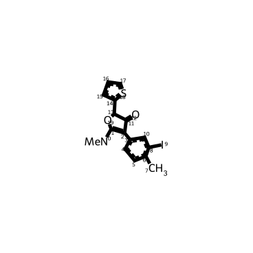 CNC1=C(c2ccc(C)c(I)c2)C(=O)C(c2cccs2)O1